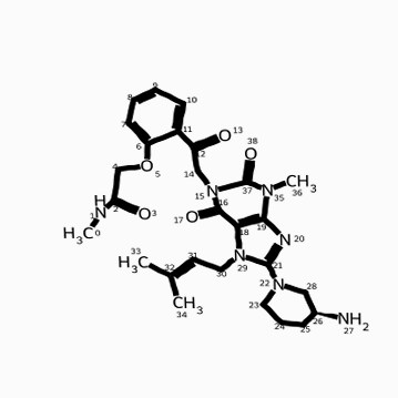 CNC(=O)COc1ccccc1C(=O)Cn1c(=O)c2c(nc(N3CCC[C@H](N)C3)n2CC=C(C)C)n(C)c1=O